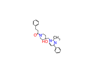 CC1N=C(c2ccccc2)C=CN1CC1(O)CCN(C(=O)CCc2ccccc2)CC1